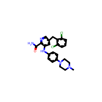 CN1CCN(c2ccc(Nc3cc(Cc4c(Cl)cccc4Cl)cnc3C(N)=O)cc2)CC1